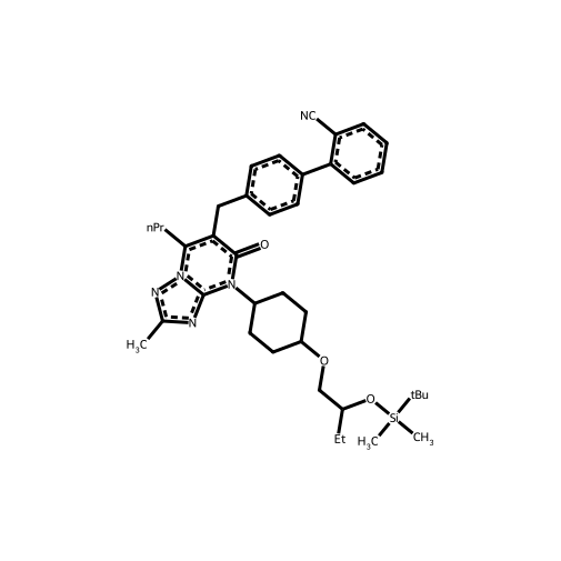 CCCc1c(Cc2ccc(-c3ccccc3C#N)cc2)c(=O)n(C2CCC(OCC(CC)O[Si](C)(C)C(C)(C)C)CC2)c2nc(C)nn12